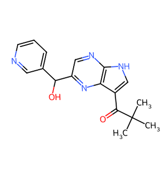 CC(C)(C)C(=O)c1c[nH]c2ncc(C(O)c3cccnc3)nc12